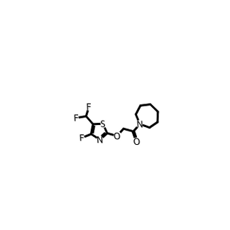 O=C(COc1nc(F)c(C(F)F)s1)N1CCCCCC1